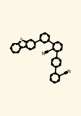 N#Cc1ccccc1-c1ccc(-c2cccc(-c3cccc(-c4ccc5c(c4)sc4ccccc45)c3)c2C#N)cc1